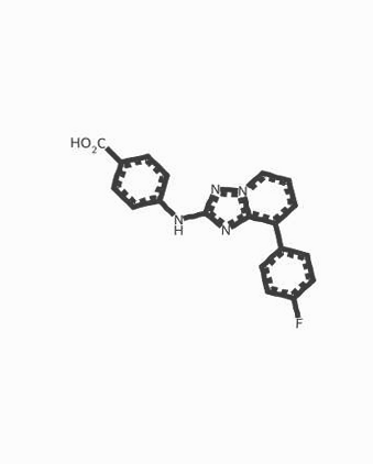 O=C(O)c1ccc(Nc2nc3c(-c4ccc(F)cc4)cccn3n2)cc1